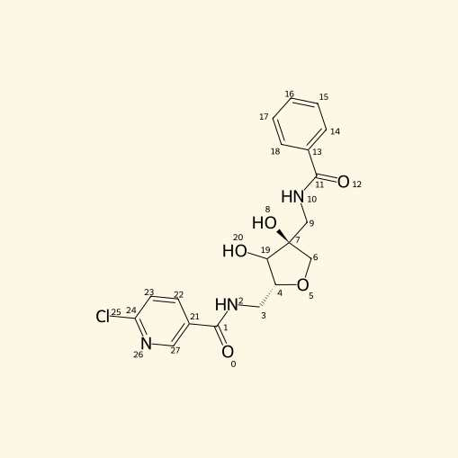 O=C(NC[C@H]1OC[C@@](O)(CNC(=O)c2ccccc2)C1O)c1ccc(Cl)nc1